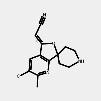 Cc1nc2c(cc1Cl)/C(=C/C#N)OC21CCNCC1